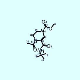 COC(=O)N1C=C(C(=O)NC(C)(C)C)N(C(C)=O)CC1